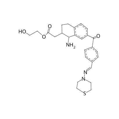 NC1c2cc(C(=O)c3ccc(C=NN4CCSCC4)cc3)ccc2CCC1CC(=O)OCCO